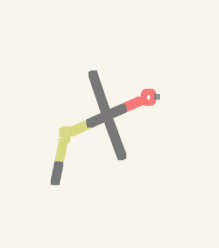 CSC(C)(C)[O]